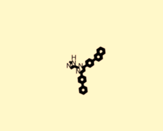 c1ccc(-c2ccc(-c3cc(-c4ccc(-c5ccc6ccccc6c5)cc4)nc(-c4cnc[nH]4)n3)cc2)cc1